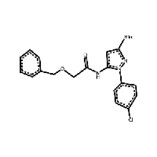 CC(C)(C)c1cc(NC(=O)COCc2ccccc2)n(-c2ccc(Cl)cc2)n1